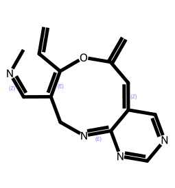 C=C/C1=C(\C=N/C)C/N=c2/ncnc/c2=C/C(=C)O1